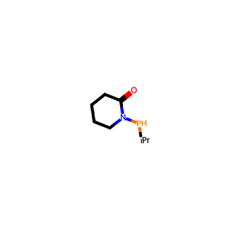 CC(C)PN1CCCCC1=O